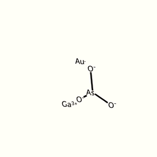 [Au].[Ga+3].[O-][As]([O-])[O-]